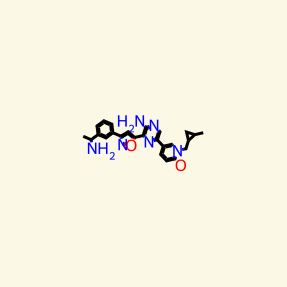 CC(N)c1cccc(-c2cc(-c3nc(-c4ccc(=O)n(CC5CC5C)c4)cnc3N)on2)c1